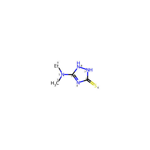 CCN(C)c1nc(=S)[nH][nH]1